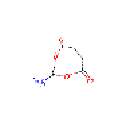 NC1OC(=O)CCC(=O)O1